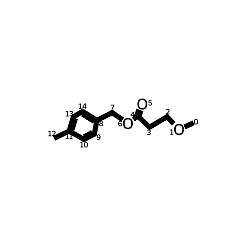 COCCC(=O)OCc1ccc(C)cc1